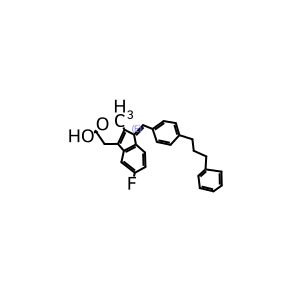 CC1=C(CC(=O)O)c2cc(F)ccc2/C1=C\c1ccc(CCCc2ccccc2)cc1